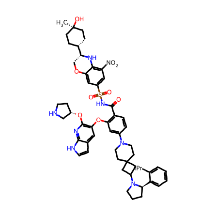 CC(C)c1ccccc1[C@H]1CCCN1C1CC2(CCN(c3ccc(C(=O)NS(=O)(=O)c4cc5c(c([N+](=O)[O-])c4)N[C@@H]([C@H]4CC[C@](C)(O)CC4)CO5)c(Oc4cc5cc[nH]c5nc4O[C@H]4CCNC4)c3)CC2)C1